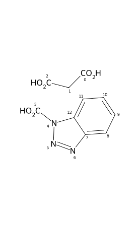 O=C(O)CC(=O)O.O=C(O)n1nnc2ccccc21